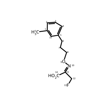 Cc1cccc(CCCO/N=C(/CF)C(=O)O)c1